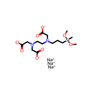 CO[Si](C)(CCCN(CCN(CC(=O)[O-])CC(=O)[O-])CC(=O)[O-])OC.[Na+].[Na+].[Na+]